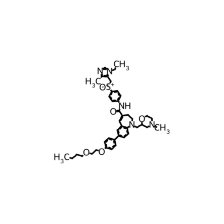 CCCCOCCOc1ccc(-c2ccc3c(c2)C=C(C(=O)Nc2ccc([S@+]([O-])Cc4c(C)ncn4CC)cc2)CCN3CC2CN(C)CCO2)cc1